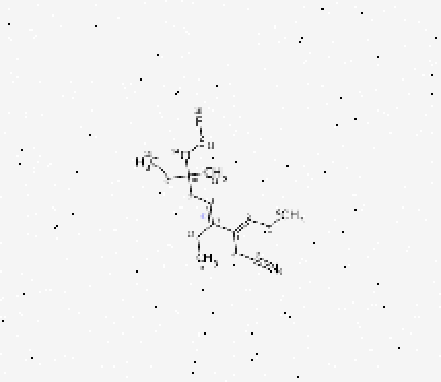 CCC=C(CC#N)/C(=C/CC(C)(CC)OSF)CC